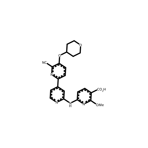 COc1nc(Nc2cc(-c3ccc(OC4CCOCC4)c(C#N)n3)ccn2)ccc1C(=O)O